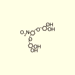 O=[N+]([O-])c1cc(COCc2ccc(O)c(O)c2)ccc1COCc1ccc(O)c(O)c1